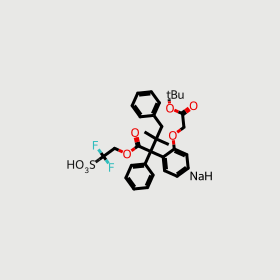 CC(C)(C)OC(=O)COc1ccccc1C(C(=O)OCC(F)(F)S(=O)(=O)O)(c1ccccc1)C(C)(C)Cc1ccccc1.[NaH]